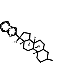 CC1CC[C@@]2(C)C(CC[C@@H]3[C@H]2CC[C@@]2(C)[C@H]3CCC2(O)c2cn3ccccc3n2)C1